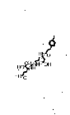 O=C(O)CC[C@H](NC(=O)NCCC[C@@H](CC(=O)O)NC(=O)CCc1ccc(I)cc1)C(=O)O